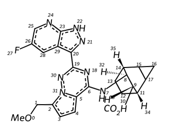 COCc1ccc2c(N[C@@H]3[C@@H](C(=O)O)[C@H]4CC[C@@H]3C3CC34)nc(-c3n[nH]c4ncc(F)cc34)nn12